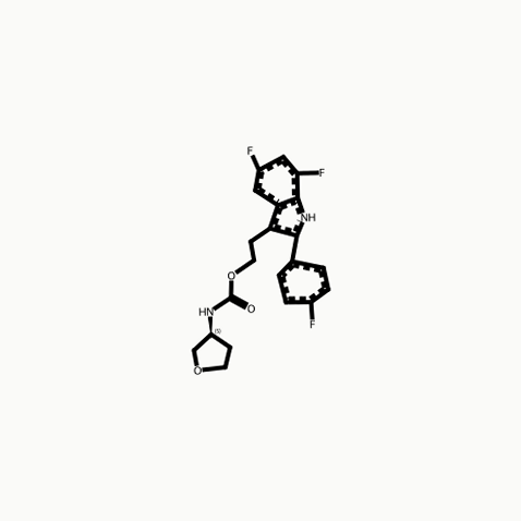 O=C(N[C@H]1CCOC1)OCCc1c(-c2ccc(F)cc2)[nH]c2c(F)cc(F)cc12